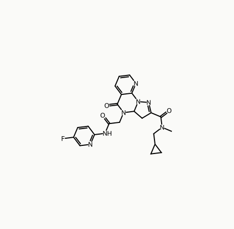 CN(CC1CC1)C(=O)C1=NN2c3ncccc3C(=O)N(CC(=O)Nc3ccc(F)cn3)C2C1